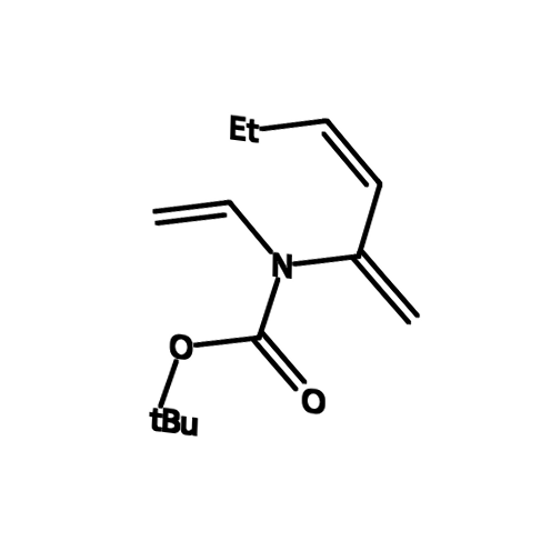 C=CN(C(=C)/C=C\CC)C(=O)OC(C)(C)C